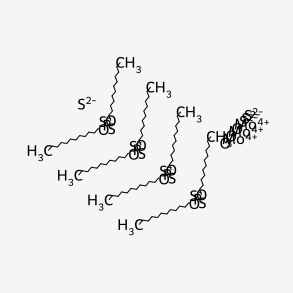 CCCCCCCCCCCCOP(=S)([S-])OCCCCCCCCCCCC.CCCCCCCCCCCCOP(=S)([S-])OCCCCCCCCCCCC.CCCCCCCCCCCCOP(=S)([S-])OCCCCCCCCCCCC.CCCCCCCCCCCCOP(=S)([S-])OCCCCCCCCCCCC.[O]=[Mo+4].[O]=[Mo+4].[O]=[Mo+4].[S-2].[S-2].[S-2].[S-2]